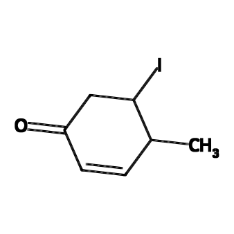 CC1C=CC(=O)CC1I